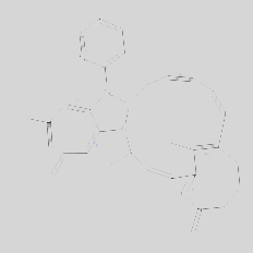 C=C/C=C1\C(=C/C(=C)O)N(c2ccccn2)B2C\C=C/C=C\C3=C(C)\C(=C\C(=C)CCC3)\C=C/C(C)N21